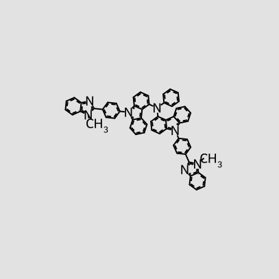 Cn1c(-c2ccc(-n3c4ccccc4c4c(N(c5ccccc5)c5cccc6c5c5ccccc5n6-c5ccc(-c6nc7ccccc7n6C)cc5)cccc43)cc2)nc2ccccc21